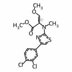 CO/C=C(\C(=O)OC)N(C)c1nc(-c2ccc(Cl)c(Cl)c2)cs1